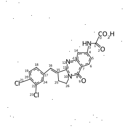 O=C(O)C(=O)Nc1ccc2c(=O)n3c(nc2c1)C(=Cc1ccc(Cl)c(Cl)c1)CC3